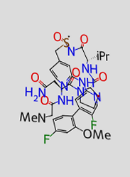 CNCC(=O)N[C@@H](CC(N)=O)C(=O)N1CCC[C@H]1C(=O)N[C@H](C(=O)N=[S@@](C)(=O)Cc1ccnc(Nc2cc(-c3ccc(F)cc3OC)c(F)cn2)c1)C(C)C